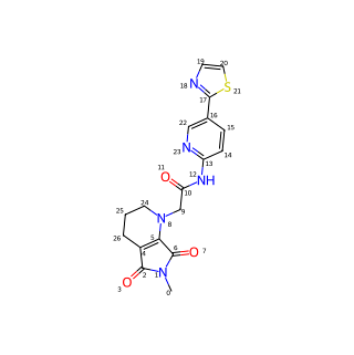 CN1C(=O)C2=C(C1=O)N(CC(=O)Nc1ccc(-c3nccs3)cn1)CCC2